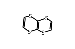 c1csc2sccsc=2s1